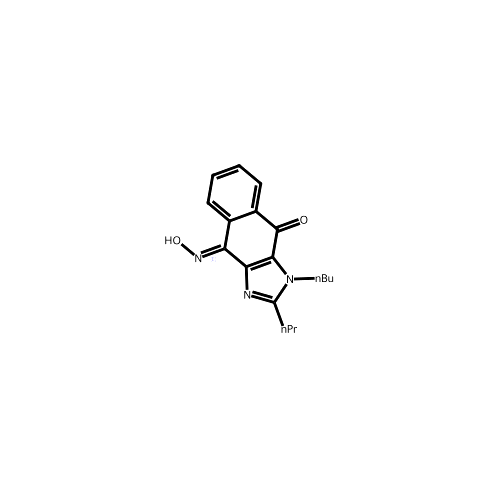 CCCCn1c(CCC)nc2c1C(=O)c1ccccc1/C2=N\O